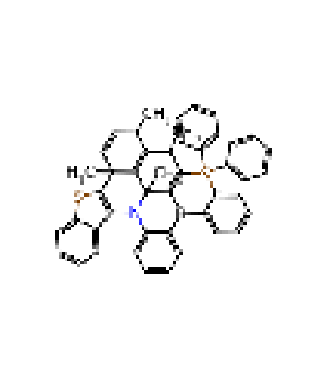 CC1C=CC2(C)C3=C1C(C)C1=C4B(c5ccccc5N(c5c2sc2ccccc52)C43C)c2ccccc2S1(c1ccccc1)c1ccccc1